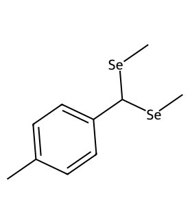 C[Se]C([Se]C)c1ccc(C)cc1